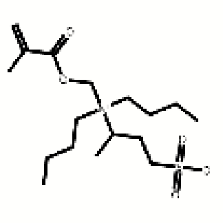 C=C(C)C(=O)OC[N+](CCCC)(CCCC)C(C)CCS(=O)(=O)[O-]